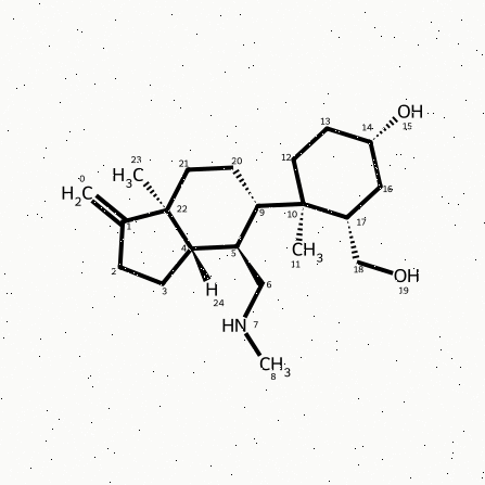 C=C1CC[C@H]2[C@H](CNC)[C@@H]([C@@]3(C)CC[C@H](O)C[C@@H]3CO)CC[C@]12C